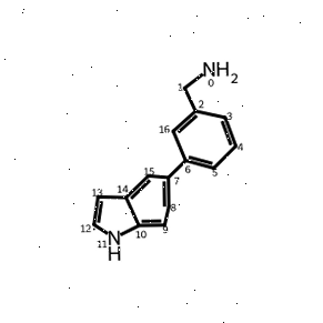 NCc1cccc(-c2ccc3[nH][c]cc3c2)c1